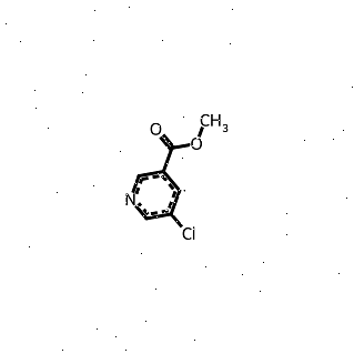 COC(=O)c1[c]c(Cl)cnc1